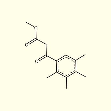 COC(=O)CC(=O)c1cc(C)c(C)c(C)c1C